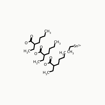 CCCCC(CC)C(=O)[O-].CCCCC(CC)C(=O)[O-].CCCCC(CC)C(=O)[O-].C[CH2][Sn+3]